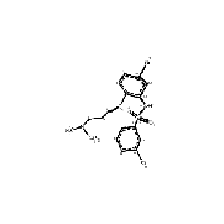 CN(C)CCCOc1ccc(Br)cc1NS(=O)(=O)c1cccc(Cl)c1